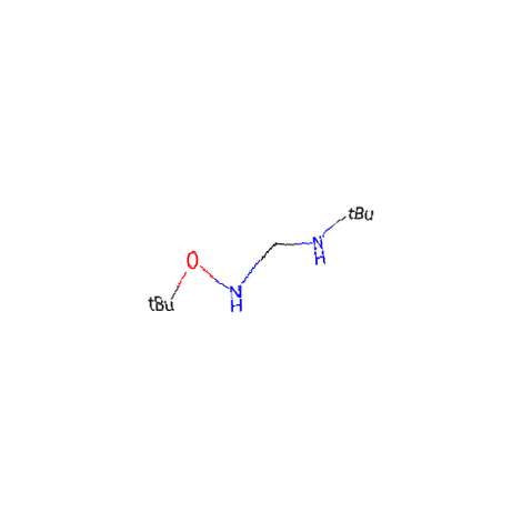 CC(C)(C)NCNOC(C)(C)C